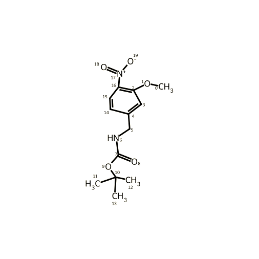 COc1cc(CNC(=O)OC(C)(C)C)ccc1[N+](=O)[O-]